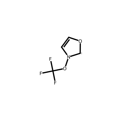 FC(F)(F)ON1[C]OC=C1